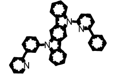 c1ccc(-c2cccc(-n3c4ccccc4c4cc5c(cc43)c3ccccc3n5-c3cccc(-c4ccccn4)c3)n2)cc1